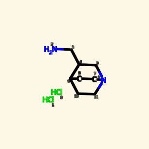 Cl.Cl.NCC1CN2CCC1CC2